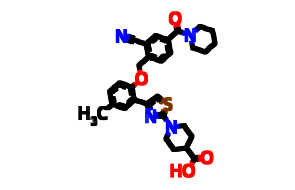 Cc1ccc(OCc2ccc(C(=O)N3CCCCC3)cc2C#N)c(-c2csc(N3CCC(C(=O)O)CC3)n2)c1